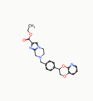 CCOC(=O)c1cn2c(n1)CN(Cc1ccc(C3COc4cccnc4O3)cc1)CC2